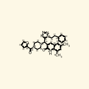 Cc1cc(C)c2[nH]c(=O)c(C(c3nnnn3CCc3ccccc3)N3CCN(C(=O)c4ccco4)CC3)cc2c1